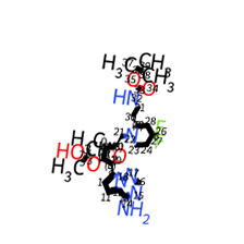 C[C@H]1[C@@H](OC(C)(C)O)[C@H](c2ccc3c(N)ncnn23)O[C@@H]1CN1CCC(F)(F)C[C@H]1CCNC(=O)OC(C)(C)C